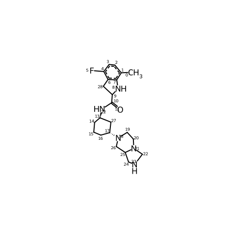 Cc1ccc(F)c2c1NC(C(=O)N[C@@H]1CCC[C@@H](N3CCN4CNCC4C3)C1)C2